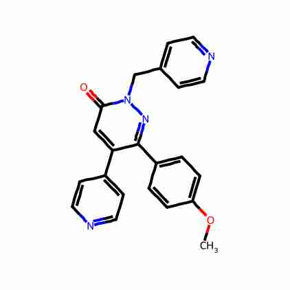 COc1ccc(-c2nn(Cc3ccncc3)c(=O)cc2-c2ccncc2)cc1